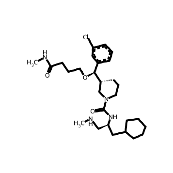 CNC[C@H](CC1CCCCC1)NC(=O)N1CCC[C@@H]([C@@H](OCCCC(=O)NC)c2cccc(Cl)c2)C1